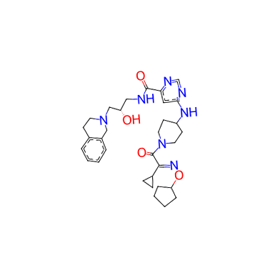 O=C(NC[C@H](O)CN1CCc2ccccc2C1)c1cc(NC2CCN(C(=O)C(=NOC3CCCC3)C3CC3)CC2)ncn1